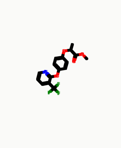 COC(=O)C(C)Oc1ccc(Oc2ncccc2C(F)(F)F)cc1